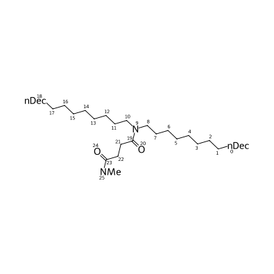 CCCCCCCCCCCCCCCCCCN(CCCCCCCCCCCCCCCCCC)C(=O)CCC(=O)NC